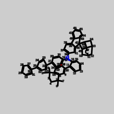 CC1(C)CCC(C)(C)c2cc(-c3ccccc3N(c3ccc(-c4ccc(-c5ccccc5)cc4)cc3)c3ccc4c(c3)C3(c5ccccc5-4)C4CC5CC6CC3C64C5)ccc21